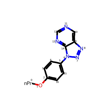 CCCOc1ccc(-n2nnc3cncnc32)cc1